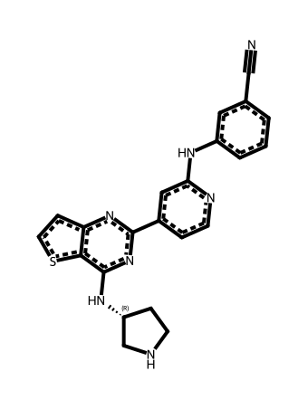 N#Cc1cccc(Nc2cc(-c3nc(N[C@@H]4CCNC4)c4sccc4n3)ccn2)c1